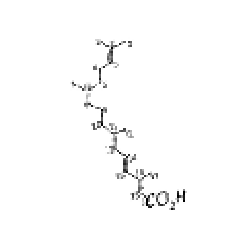 CC(C)=CCCC(C)CCC/C(C)=C/C=C/C(C)=C/C(=O)O